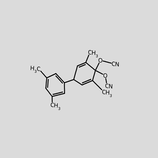 CC1=CC(c2cc(C)cc(C)c2)C=C(C)C1(OC#N)OC#N